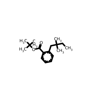 CCC(C)(C)Cc1ccccc1C(=O)OC(C)(C)C